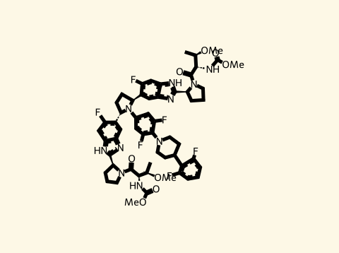 COC(=O)N[C@H](C(=O)N1CCC[C@H]1c1nc2cc([C@@H]3CC[C@@H](c4cc5nc([C@@H]6CCCN6C(=O)[C@@H](NC(=O)OC)[C@@H](C)OC)[nH]c5cc4F)N3c3cc(F)c(N4CCC(c5c(F)cccc5F)CC4)c(F)c3)c(F)cc2[nH]1)[C@@H](C)OC